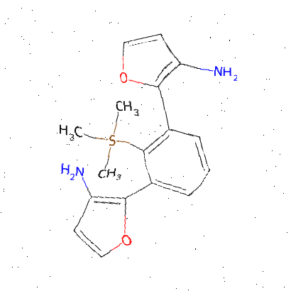 CS(C)(C)c1c(-c2occc2N)cccc1-c1occc1N